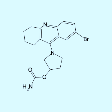 NC(=O)OC1CCN(c2c3c(nc4ccc(Br)cc24)CCCC3)C1